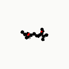 CC1(C)c2ccccc2-c2cc3c4cc5c(cc4n(-c4nc(-c6ccccc6)nc(-c6ccccc6)n4)c3cc21)C(C)(C)c1ccc(-c2cccc(-c3ccc4c(c3)c3ccc6c7cc(-c8ccccc8)ccc7n7c8ccccc8c(=O)n4c3c67)c2)cc1-5